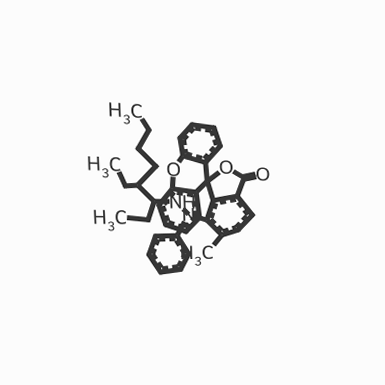 CCCCC(CC)C(CC)NN(c1ccccc1)c1c(C)ccc2c1C1(OC2=O)c2ccccc2Oc2ccccc21